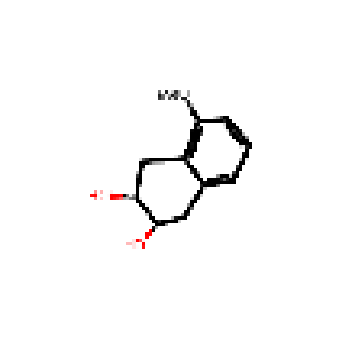 COc1cccc2c1C[C@H](O)[C@H](O)C2